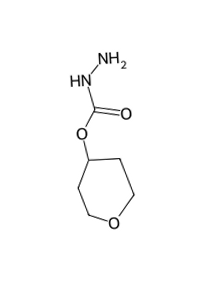 NNC(=O)OC1CCOCC1